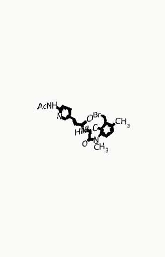 CC(=O)Nc1ccc(/C=C/C(=O)NCC(=O)N(C)c2ccc(C)c(CBr)c2C)cn1